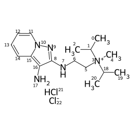 CC(C)[N+](C)(CCNc1nn2ccccc2c1N)C(C)C.Cl.[Cl-]